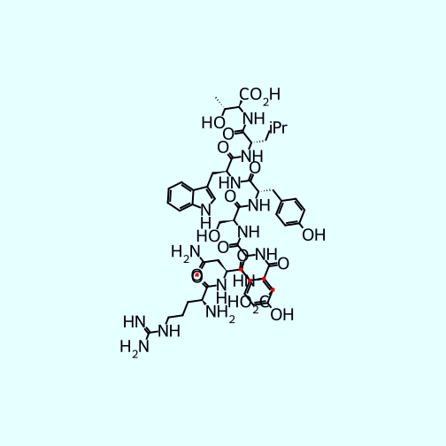 CC(C)C[C@H](NC(=O)[C@H](Cc1c[nH]c2ccccc12)NC(=O)[C@H](Cc1ccc(O)cc1)NC(=O)[C@H](CO)NC(=O)[C@H](Cc1ccc(O)cc1)NC(=O)[C@H](CC(=O)O)NC(=O)[C@H](CC(N)=O)NC(=O)[C@@H](N)CCCNC(=N)N)C(=O)N[C@H](C(=O)O)[C@@H](C)O